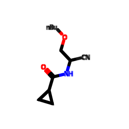 CCCCOCC(C#N)NC(=O)C1CC1